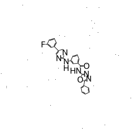 O=C(Nc1nnc(-c2ccccc2)o1)c1cccc(Nc2ncc(-c3cccc(F)c3)cn2)c1